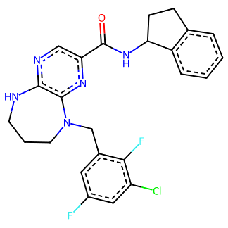 O=C(NC1CCc2ccccc21)c1cnc2c(n1)N(Cc1cc(F)cc(Cl)c1F)CCCN2